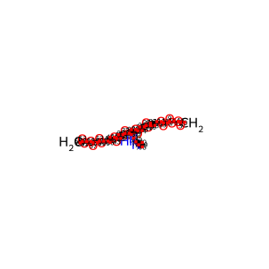 C=CC(=O)OCCOC(=O)CCC(=O)OCCc1ccc(OC(=O)[C@H]2CC[C@H](C(=O)Oc3ccc(OC(=O)[C@H]4CC[C@H](C(=O)Oc5ccc(CCOC(=O)CCC(=O)OCCOC(=O)C=C)cc5)CC4)c(/C=N/Nc4nc5ccccc5s4)c3)CC2)cc1